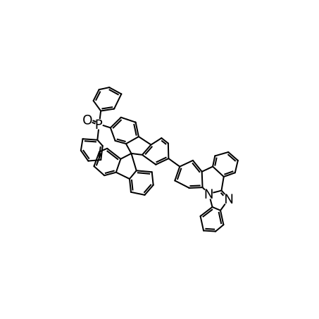 O=P(c1ccccc1)(c1ccccc1)c1ccc2c(c1)C1(c3ccccc3-c3ccccc31)c1cc(-c3ccc4c(c3)c3ccccc3c3nc5ccccc5n43)ccc1-2